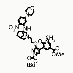 COC(=O)c1cc(-c2cn(C(=O)OC(C)(C)C)nc2OCCN2CC3CCC(Nc4cc(N5CCOCC5)ccc4[N+](=O)[O-])(C3)C2)c(=O)n(C)c1